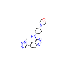 Cn1nncc1-c1ccc2ncnc(NC3CCC(N4CCOCC4)CC3)c2c1